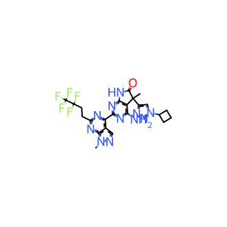 Cn1ncc2c(-c3nc(N)c4c(n3)NC(=O)C4(C)c3cn(C4CCC4)nn3)nc(CCC(F)(F)C(F)(F)F)nc21